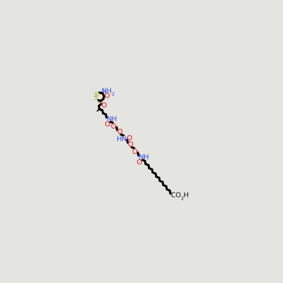 C[C@H](CCCCNC(=O)COCCOCCNC(=O)COCCOCCNC(=O)CCCCCCCCCCCCCCCCC(=O)O)CC(=O)[C@@H]1CSSC[C@H](N)C(=O)C1